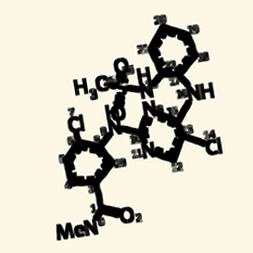 CNC(=O)c1ccc(Cl)c(Nc2ncc(Cl)c(Nc3ccccc3NS(C)(=O)=O)n2)c1